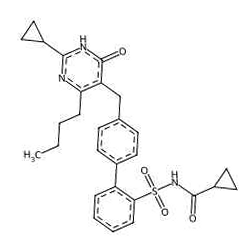 CCCCc1nc(C2CC2)[nH]c(=O)c1Cc1ccc(-c2ccccc2S(=O)(=O)NC(=O)C2CC2)cc1